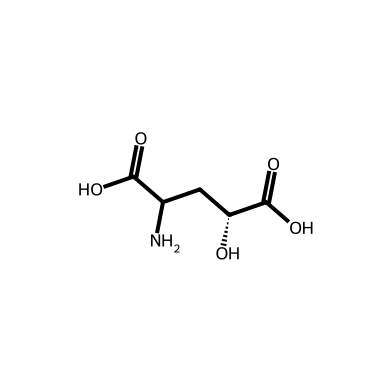 NC(C[C@@H](O)C(=O)O)C(=O)O